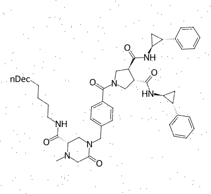 CCCCCCCCCCCCCCNC(=O)[C@@H]1CN(Cc2ccc(C(=O)N3C[C@@H](C(=O)N[C@H]4C[C@@H]4c4ccccc4)[C@H](C(=O)N[C@H]4C[C@@H]4c4ccccc4)C3)cc2)C(=O)CN1C